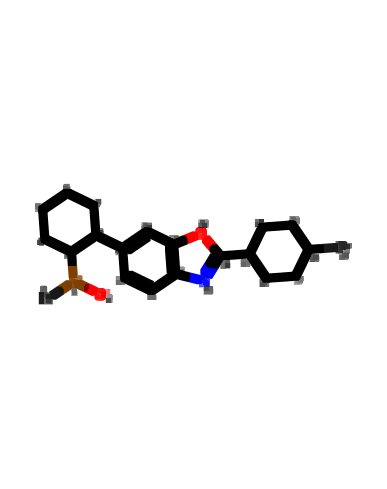 CC[S+]([O-])C1CCCCC1c1ccc2nc(C3CCC(C(C)C)CC3)oc2c1